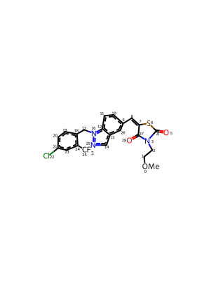 COCCN1C(=O)SC(=Cc2ccc3c(cnn3Cc3ccc(Cl)cc3C(F)(F)F)c2)C1=O